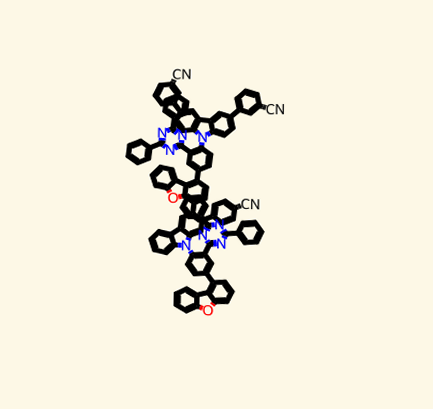 N#Cc1ccc(-c2cc3c(cc2-c2ccc(-c4ccc(-n5c6ccc(-c7cccc(C#N)c7)cc6c6cc(-c7cccc(C#N)c7)ccc65)c(-c5nc(-c6ccccc6)nc(-c6ccccc6)n5)c4)c4c2oc2ccccc24)c2ccccc2n3-c2ccc(-c3cccc4oc5ccccc5c34)cc2-c2nc(-c3ccccc3)nc(-c3ccccc3)n2)cc1